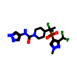 Cn1cc(S(=O)(=O)[C@@](C)(F)C2CCN(C(=O)Nc3cn[nH]c3)CC2)c(C(F)F)n1